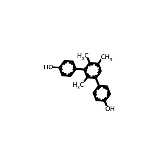 Cc1cc(-c2ccc(O)cc2)c(C)c(-c2ccc(O)cc2)c1C